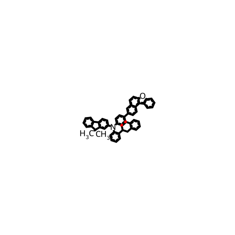 CC1(C)c2ccccc2-c2ccc(N(c3ccc(-c4ccc5c(ccc6oc7ccccc7c65)c4)cc3)c3ccccc3C3C=Cc4ccccc4C3)cc21